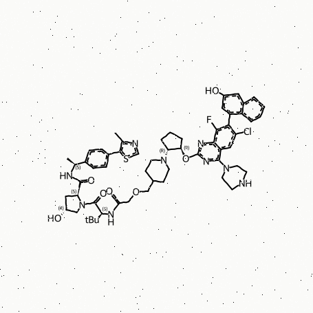 Cc1ncsc1-c1ccc([C@H](C)NC(=O)[C@@H]2C[C@@H](O)CN2C(=O)[C@@H](NC(=O)COCC2CCN([C@@H]3CCC[C@H]3Oc3nc(N4CCNCC4)c4cc(Cl)c(-c5cc(O)cc6ccccc56)c(F)c4n3)CC2)C(C)(C)C)cc1